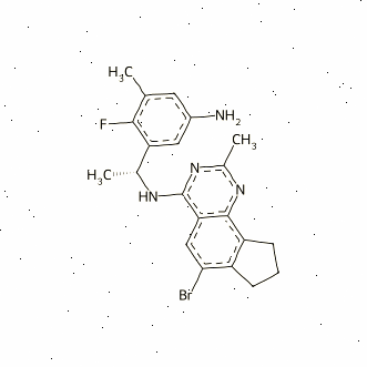 Cc1nc(N[C@H](C)c2cc(N)cc(C)c2F)c2cc(Br)c3c(c2n1)CCC3